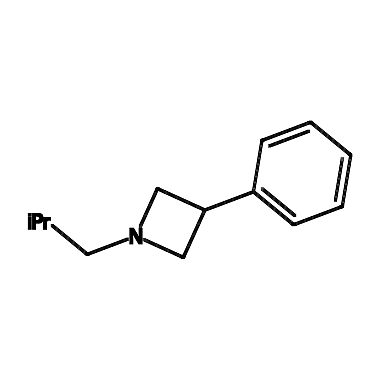 CC(C)CN1CC(c2ccccc2)C1